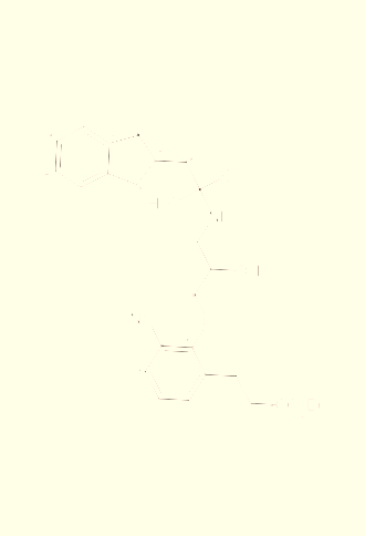 CCOC(=O)CCc1cccc(C#N)c1OCC(O)CNC(C)(C)CC1Cc2ccccc2C1